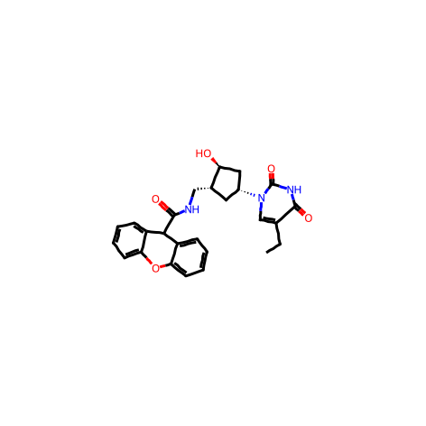 CCc1cn([C@@H]2C[C@H](CNC(=O)C3c4ccccc4Oc4ccccc43)[C@@H](O)C2)c(=O)[nH]c1=O